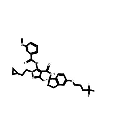 COc1cccc(C(=O)Nc2c3c(nn2CCC2CC2)C[C@]2(CCc4cc(OCCCC(F)(F)F)ccc42)NC3=O)c1